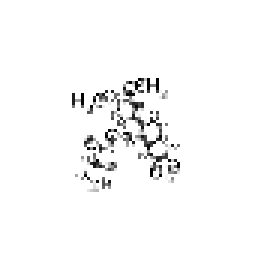 COc1cc2c(OCC(=O)N3CCCCC3)nc3c4cc5c(cc4ccc3c2cc1OC)OCO5